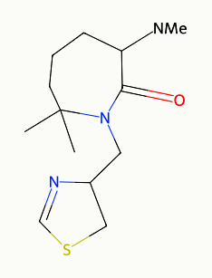 CNC1CCCC(C)(C)N(CC2CSC=N2)C1=O